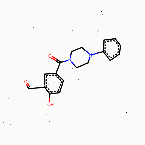 O=Cc1cc(C(=O)N2CCN(c3ccccc3)CC2)ccc1O